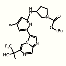 CC(C)(C)OC(=O)N1CCC(Nc2cc(F)cc(-c3cnc4cnc(C(C)(O)C(F)(F)F)cn34)n2)C1